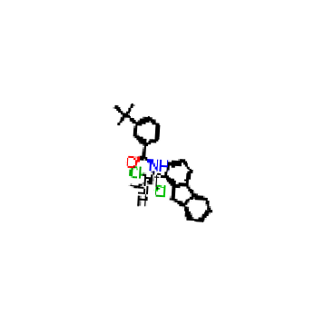 C[SiH](C)[Hf]([Cl])([Cl])([NH]C(=O)c1cccc(C(C)(C)C)c1)[c]1cccc2c1Cc1ccccc1-2